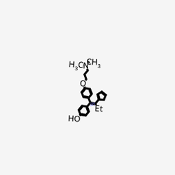 CC/C(C1=CC=CC1)=C(\c1ccc(O)cc1)c1ccc(OCCCN(C)C)cc1